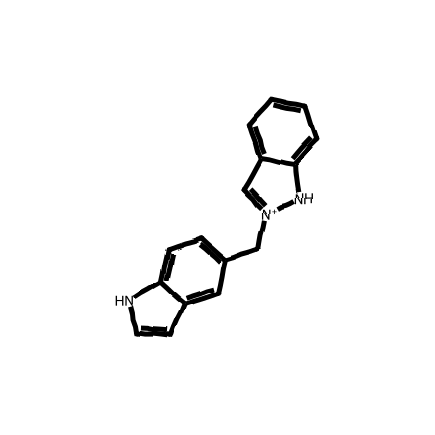 c1ccc2[nH][n+](Cc3ccc4[nH]ccc4c3)cc2c1